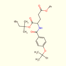 CCC(C)(C)Oc1ccc(C(=O)NC(CCC(=O)OC(C)C)C(=O)OC(C)(C)CC(C)(C)C)cc1